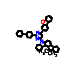 CC1(C)c2ccccc2-c2ccc3c(c21)c1ccccc1n3-c1cc(-c2ccc3c(c2)oc2ccccc23)nc(-c2ccc(-c3ccccc3)cc2)n1